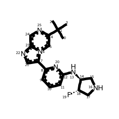 CC(C)(C)c1cn2c(-c3cccc(N[C@H]4CNC[C@@H]4F)n3)cnc2cn1